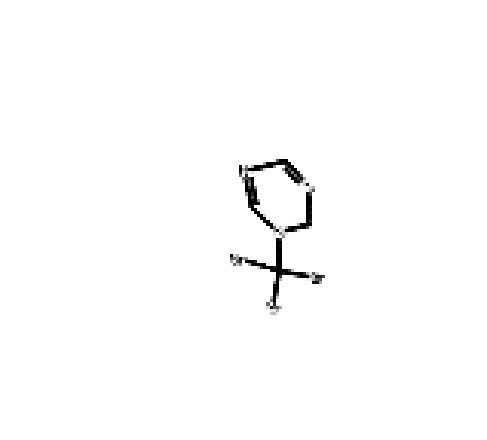 BrC(Br)(Br)N1C=NC=NC1